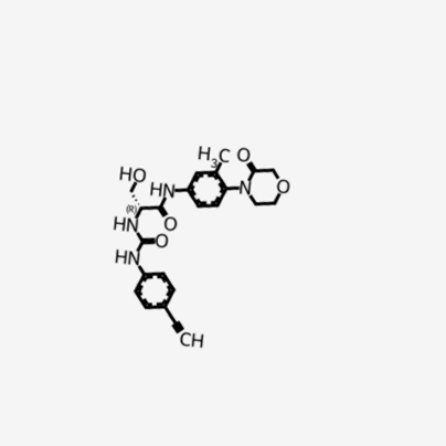 C#Cc1ccc(NC(=O)N[C@H](CO)C(=O)Nc2ccc(N3CCOCC3=O)c(C)c2)cc1